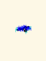 FC(F)Cn1cc(-c2nccc(Nc3cc(NC4CCCC(F)C4)c(-c4ccn(C(F)F)n4)cn3)n2)cn1